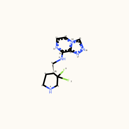 FC1(F)CNCC[C@@H]1CNc1nccn2cnnc12